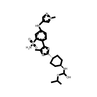 Cc1nc([C@H]2CC[C@H](NC(O)OC(C)C)CC2)sc1-c1ccc(Nc2cnn(C)c2)cc1S(N)(=O)=O